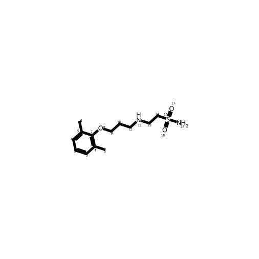 Cc1c[c]cc(C)c1OCCCNCCS(N)(=O)=O